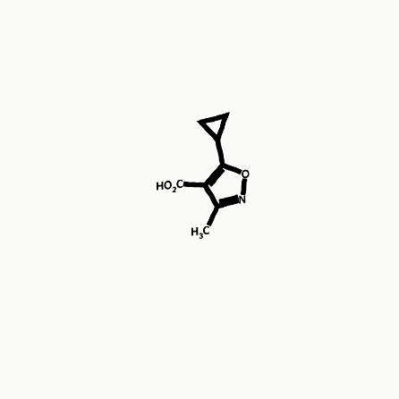 Cc1noc(C2CC2)c1C(=O)O